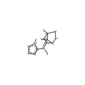 CN(c1cccn1C)C1CC2(C)CCC1C2(C)C